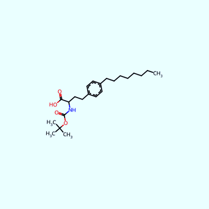 CCCCCCCCc1ccc(CCC(NC(=O)OC(C)(C)C)C(=O)O)cc1